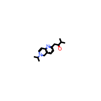 CC(C)C(=O)Cc1ccc2c(n1)C=CN(C(C)C)C2